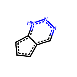 c1cc2cnn[nH]c-2c1